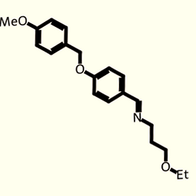 CCOCCCN=Cc1ccc(OCc2ccc(OC)cc2)cc1